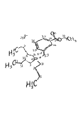 CCCC[P+](CCCC)(CCCC)Cc1cccc(C(=O)OCC)c1.[I-]